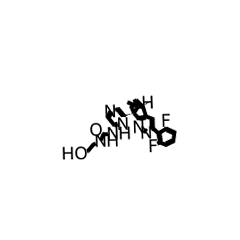 CC1(C)[C@H]2CC[C@]1(c1cncc(NC(=O)NCCO)n1)c1nnc(-c3c(F)cccc3F)cc12